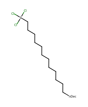 CCCCCCCCCCCCCCCCCCCCCC[Si](Cl)(Cl)Cl